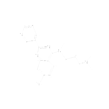 CN(C)CCCN(C)c1nc(-c2cccnc2)nc2cc(Br)ccc12